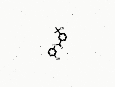 CC(C)(C#N)c1cccc(C(=O)Nc2cccc(O)c2)c1